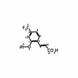 CC(C)Oc1nc(C(F)(F)F)ccc1C=CC(=O)O